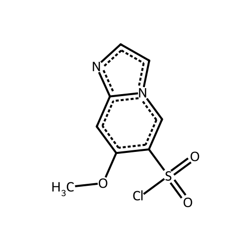 COc1cc2nccn2cc1S(=O)(=O)Cl